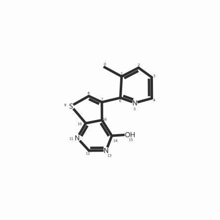 Cc1cccnc1-c1csc2ncnc(O)c12